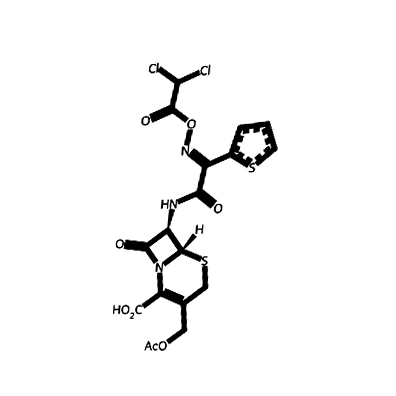 CC(=O)OCC1=C(C(=O)O)N2C(=O)[C@@H](NC(=O)C(=NOC(=O)C(Cl)Cl)c3cccs3)[C@@H]2SC1